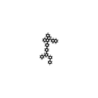 c1ccc(-c2cccc(-c3cc(-c4ccc(-c5ccc(-c6cc7c(-c8ccc9ccccc9c8)nc8ccccc8c7c7ccccc67)cc5)cc4)nc(-c4ccccc4)n3)c2)cc1